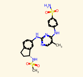 Cc1cnc(Nc2ccc3c(c2)[C@H](NS(C)(=O)=O)CC3)nc1Nc1ccc(S(N)(=O)=O)cc1